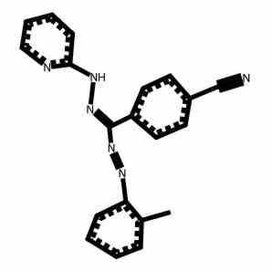 Cc1ccccc1/N=N/C(=N/Nc1ccccn1)c1ccc(C#N)cc1